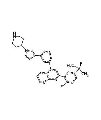 CC(C)(F)c1ccc(F)c(-c2cc(-c3cncc(-c4cnn(C5CCNCC5)c4)c3)c3cccnc3n2)c1